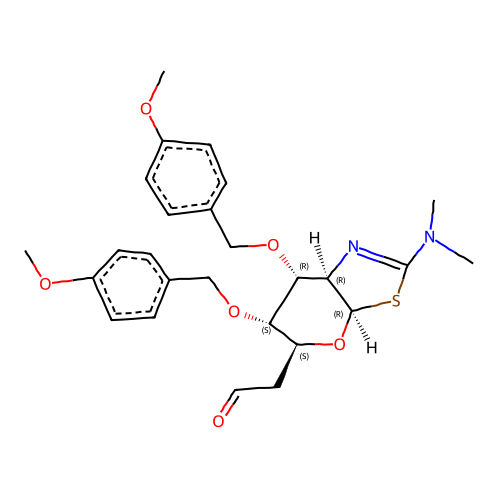 COc1ccc(CO[C@@H]2[C@H]3N=C(N(C)C)S[C@H]3O[C@@H](CC=O)[C@@H]2OCc2ccc(OC)cc2)cc1